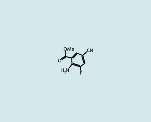 COC(=O)c1cc(C#N)cc(F)c1N